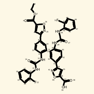 CCOC(=O)c1cc(-c2ccc(NC(=O)Nc3ccccc3F)cc2)no1.O=C(Nc1ccc(-c2cc(C(=O)O)on2)cc1)Nc1ccccc1F